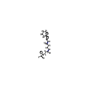 C=C(C)C(=O)CC/C(C)=C\CC/C(C)=C/COC1CCCCO1